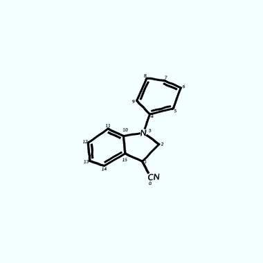 N#CC1CN(c2ccccc2)c2ccccc21